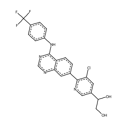 OCC(O)c1cnc(-c2ccc3c(Nc4ccc(C(F)(F)F)cc4)ncnc3c2)c(Cl)c1